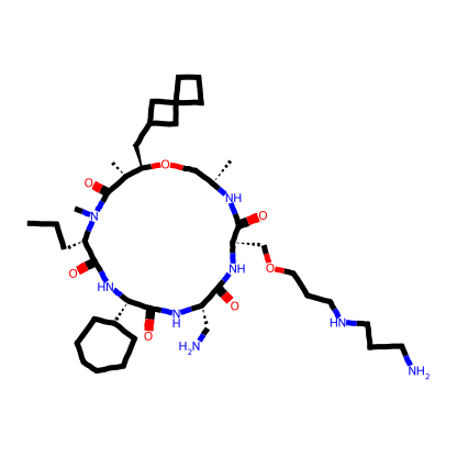 CCC[C@H]1C(=O)N[C@@H](C2CCCCCC2)C(=O)N[C@@H](CN)C(=O)N[C@@H](COCCCNCCCN)C(=O)N[C@@H](C)CO[C@H](CC2CC3(CCC3)C2)[C@@H](C)C(=O)N1C